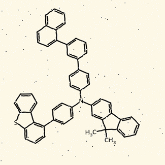 CC1(C)c2ccccc2-c2ccc(N(c3ccc(-c4cccc(-c5cccc6ccccc56)c4)cc3)c3ccc(-c4cccc5sc6ccccc6c45)cc3)cc21